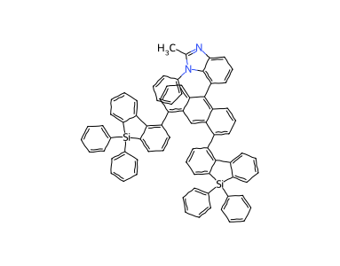 Cc1nc2cccc(-c3c4cccc(-c5cccc6c5-c5ccccc5[Si]6(c5ccccc5)c5ccccc5)c4cc4c(-c5cccc6c5-c5ccccc5[Si]6(c5ccccc5)c5ccccc5)cccc34)c2n1-c1ccccc1